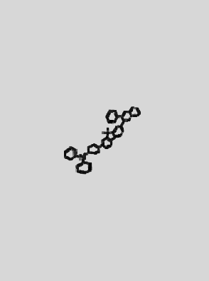 CC1(C)c2cc(C3=CCC(N(c4ccccc4)c4ccccc4)C=C3)ccc2-c2ccc(-c3cc4ccccc4cc3-c3ccccc3)cc21